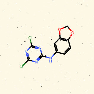 Clc1nc(Cl)nc(Nc2ccc3c(c2)OCO3)n1